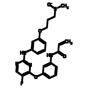 C=CC(=O)Nc1cccc(Oc2nc(Nc3cccc(OCCC[S+](C)[O-])c3)ncc2F)c1